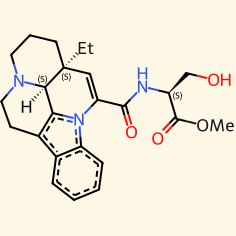 CC[C@@]12C=C(C(=O)N[C@@H](CO)C(=O)OC)n3c4c(c5ccccc53)CCN(CCC1)[C@H]42